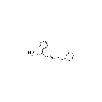 C=CC(CC=CCCc1ccccc1)c1ccccc1